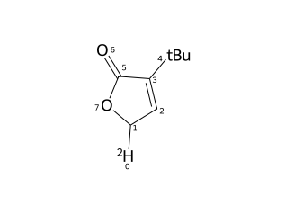 [2H]C1C=C(C(C)(C)C)C(=O)O1